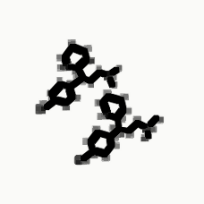 CN(C)CC[C@@H](c1ccc(Br)cc1)c1ccccn1.CN(C)CC[C@@H](c1ccc(Cl)cc1)c1ccccn1